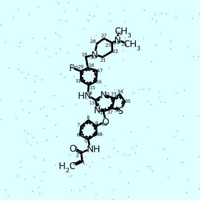 C=CC(=O)Nc1cccc(Oc2nc(Nc3ccc(CN4CCC(N(C)C)CC4)c(F)c3)nc3ccsc23)c1